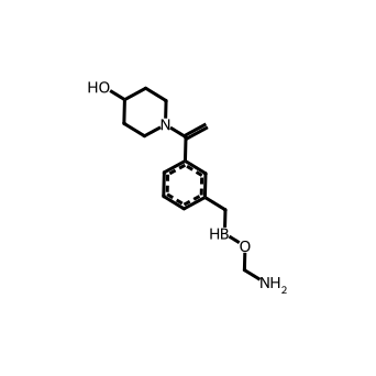 C=C(c1cccc(CBOCN)c1)N1CCC(O)CC1